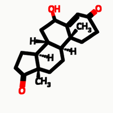 C[C@]12CCC(=O)C=C1C(O)C[C@@H]1[C@@H]2CC[C@]2(C)C(=O)CC[C@@H]12